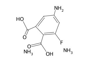 N.N.Nc1cc(F)c(C(=O)O)c(C(=O)O)c1